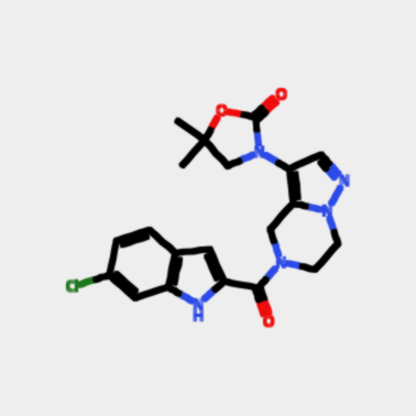 CC1(C)CN(c2cnn3c2CN(C(=O)c2cc4ccc(Cl)cc4[nH]2)CC3)C(=O)O1